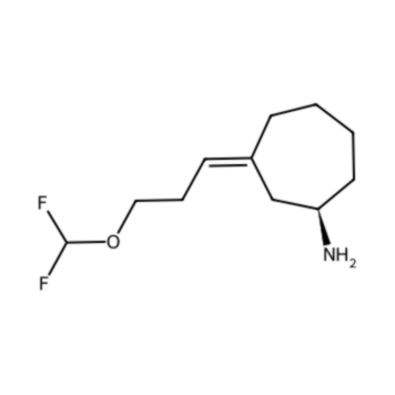 N[C@@H]1CCCC/C(=C/CCOC(F)F)C1